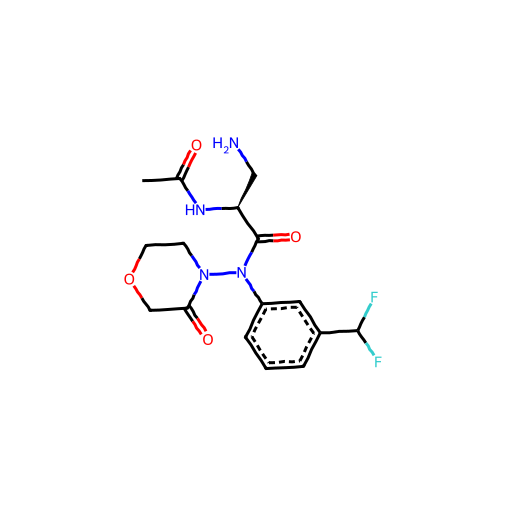 CC(=O)N[C@@H](CN)C(=O)N(c1cccc(C(F)F)c1)N1CCOCC1=O